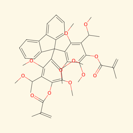 C=C(C)C(=O)Oc1c(OC)c(OC)c(C2(c3c(OC)c(OC)c(OC(=O)C(=C)C)c(C(C)OC)c3OC)c3ccccc3-c3ccccc32)c(OC)c1C(C)OC